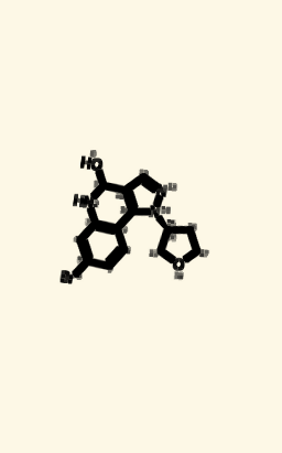 OC1Nc2cc(Br)ccc2-c2c1cnn2[C@H]1CCOC1